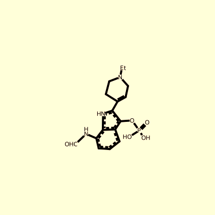 CCN1CC=C(c2[nH]c3c(NC=O)cccc3c2OP(=O)(O)O)CC1